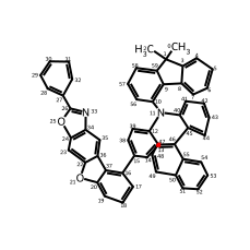 CC1(C)c2ccccc2-c2c(N(c3ccc(-c4cccc5oc6cc7oc(-c8ccccc8)nc7cc6c45)cc3)c3ccccc3-c3cccc4ccccc34)cccc21